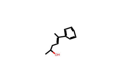 CC(=CCC(C)O)c1ccccc1